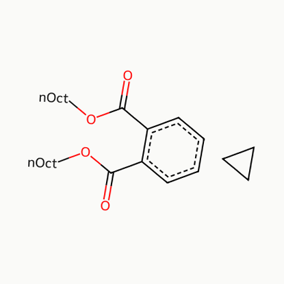 C1CC1.CCCCCCCCOC(=O)c1ccccc1C(=O)OCCCCCCCC